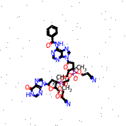 C=CCOP(=O)(OCCC#N)[C@]1(C)CC(n2cnc3c(NC(=O)c4ccccc4)ncnc32)OC1COP(=O)(OCCC#N)[C@]1(C)CC(n2cnc3c(=O)[nH]cnc32)OC1CO